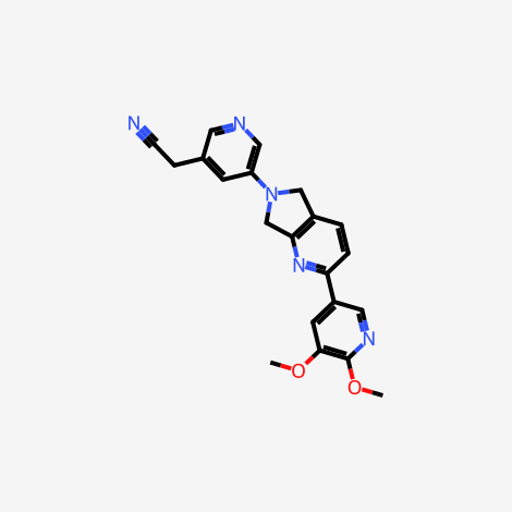 COc1cc(-c2ccc3c(n2)CN(c2cncc(CC#N)c2)C3)cnc1OC